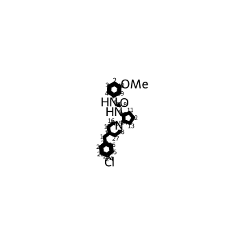 COc1cccc(NC(=O)NC2CCCC2N2CCC(Cc3ccc(Cl)cc3)CC2)c1